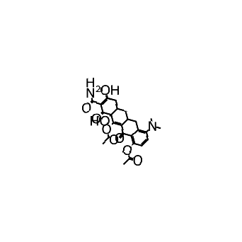 CC(=O)OC1=C2C(=O)c3c(OC(C)=O)ccc(N(C)C)c3CC2CC2CC(O)=C(C(N)=O)C(=O)C12O